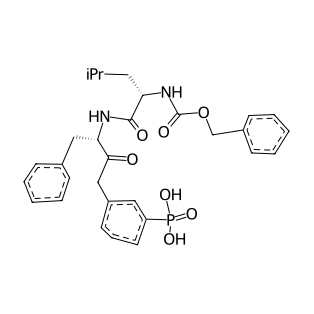 CC(C)C[C@H](NC(=O)OCc1ccccc1)C(=O)N[C@@H](Cc1ccccc1)C(=O)Cc1cccc(P(=O)(O)O)c1